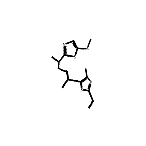 CCc1nc(C)c(C(C)CCC(C)c2ncc(SC)s2)s1